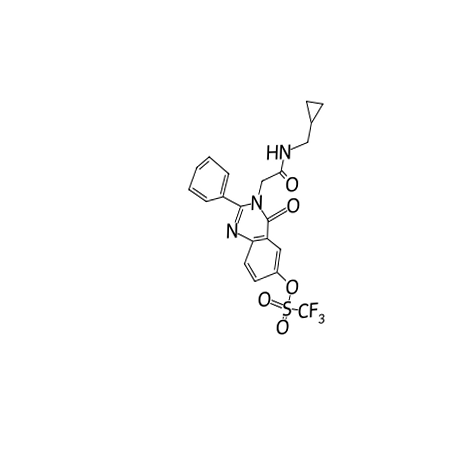 O=C(Cn1c(-c2ccccc2)nc2ccc(OS(=O)(=O)C(F)(F)F)cc2c1=O)NCC1CC1